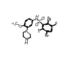 COc1ccc(NS(=O)(=O)c2c(F)c(Br)cc(F)c2Br)cc1N1CCNCC1